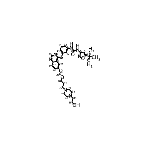 CC(C)(C)c1cc(NC(=O)Nc2cccc(Sc3ncnc4ccc(OCOCCCN5CCN(CCO)CC5)cc34)c2)no1